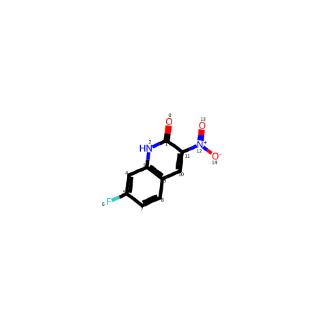 O=c1[nH]c2cc(F)ccc2cc1[N+](=O)[O-]